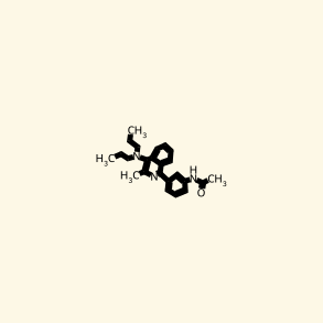 CCCN(CCC)c1c(C)nc(-c2cccc(NC(C)=O)c2)c2ccccc12